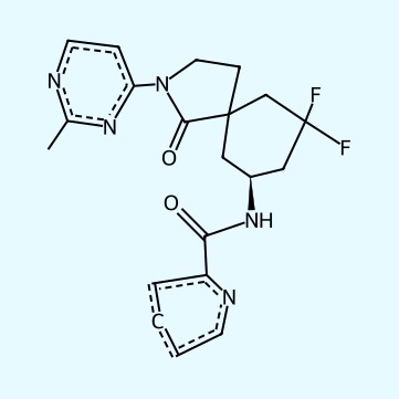 Cc1nccc(N2CCC3(C[C@H](NC(=O)c4ccccn4)CC(F)(F)C3)C2=O)n1